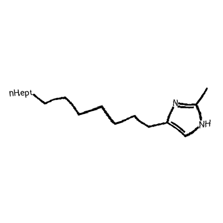 CCCCCCCCCCCCCCc1c[nH]c(C)n1